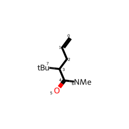 C=CCC(C(=O)NC)C(C)(C)C